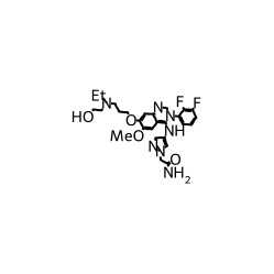 CCN(CCO)CCCOc1cc2c(cc1OC)=C(Nc1cnn(CC(N)=O)c1)N(c1cccc(F)c1F)CN=2